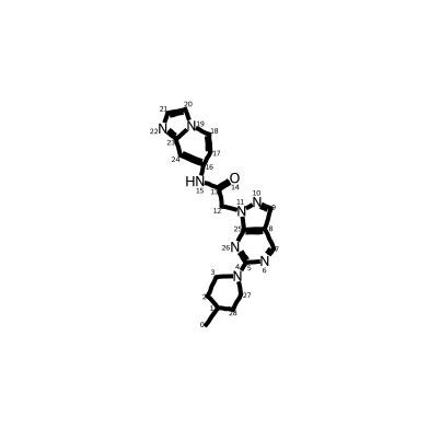 CC1CCN(c2ncc3cnn(CC(=O)Nc4ccn5ccnc5c4)c3n2)CC1